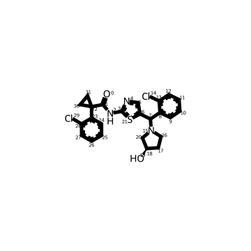 O=C(Nc1ncc(C(c2ccccc2Cl)N2CC[C@@H](O)C2)s1)C1(c2ccccc2Cl)CC1